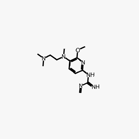 C=NC(=N)Nc1ccc(N(C)CCN(C)C)c(OC)n1